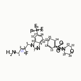 NC/C=C(\F)Cn1cnc2c(-c3ccc(S(=O)(=O)N4CCOCC4)cc3)cc(C(F)(F)F)cc21